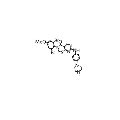 COc1cc(Br)c(N2CSc3nc(Nc4ccc(N5CCN(C)CC5)cc4)ncc3C2=O)c(Br)c1